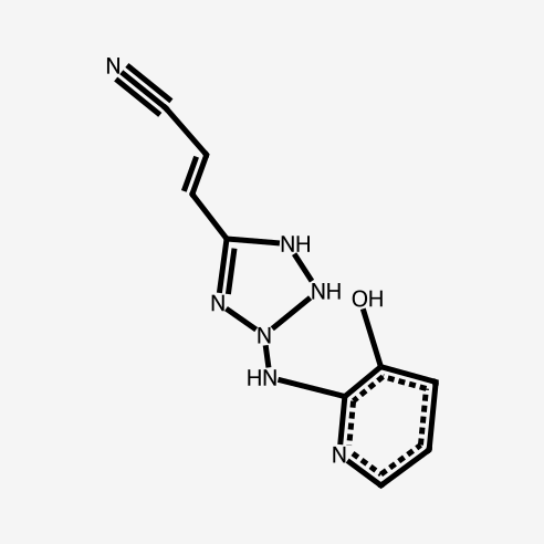 N#CC=CC1=NN(Nc2ncccc2O)NN1